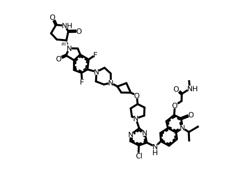 CNC(=O)COc1cc2cc(Nc3nc(N4CCC(OC5CC(N6CCN(c7c(F)cc8c(c7F)CN([C@@H]7CCC(=O)NC7=O)C8=O)CC6)C5)CC4)ncc3Cl)ccc2n(C(C)C)c1=O